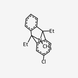 CCC12c3ccccc3C(CC)(c3cc(Cl)ccc31)N2C